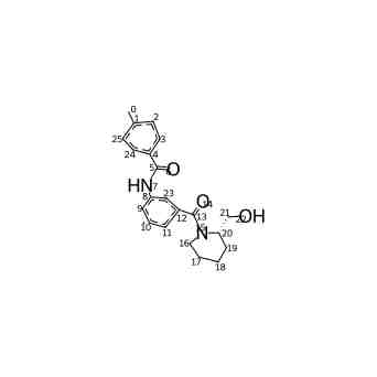 Cc1ccc(C(=O)Nc2c[c]cc(C(=O)N3CCCC[C@H]3CO)c2)cc1